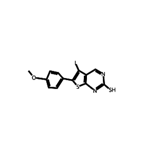 COc1ccc(-c2sc3nc(S)ncc3c2I)cc1